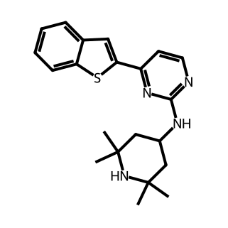 CC1(C)CC(Nc2nccc(-c3cc4ccccc4s3)n2)CC(C)(C)N1